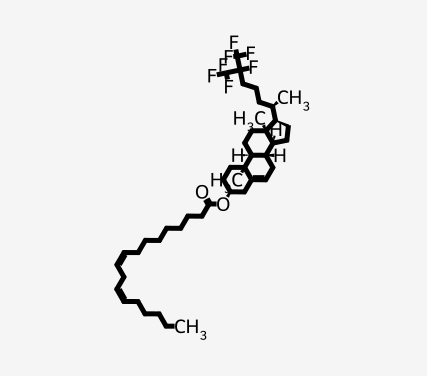 CCCCC/C=C\C/C=C\CCCCCCCC(=O)O[C@H]1CC[C@@]2(C)C(=CC[C@H]3[C@@H]4CC[C@H]([C@H](C)CCCC(F)(C(F)(F)F)C(F)(F)F)[C@@]4(C)CC[C@@H]32)C1